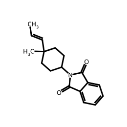 C/C=C/C1(C)CCC(N2C(=O)c3ccccc3C2=O)CC1